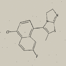 CC1=C(c2ccc(Cl)c3ccc(F)cc23)N2CCN=C2S1